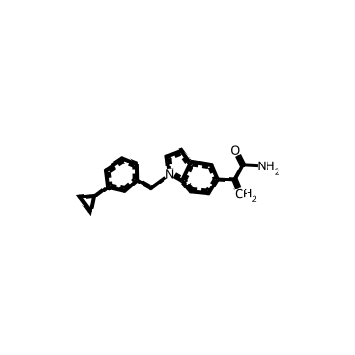 C=C(C(N)=O)c1ccc2c(ccn2Cc2cccc(C3CC3)c2)c1